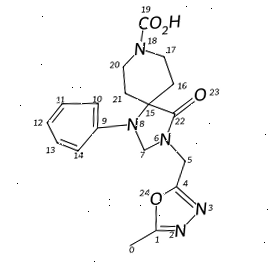 Cc1nnc(CN2CN(c3ccccc3)C3(CCN(C(=O)O)CC3)C2=O)o1